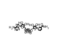 NC(=O)c1ccc[n+]([C@@H]2S[C@H](COP(=O)(O)OP(=O)([O-])OC[C@H]3O[C@@H](n4cnc5c(N)ncnc54)[C@H](O)[C@@H]3O)[C@@H](O)[C@H]2O)c1